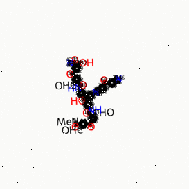 CNC(=O)c1ccc(C(=O)c2ccc(C=O)c(C(=O)Nc3ccc(C(O)(c4ccc(NC(=O)c5ccc(C(=O)c6ccc(CO)c(C(=O)N(C)C)c6)cc5C=O)cc4)c4ccc(N5Cc6ccc(C(=O)c7ccc8c(c7)CN(C)C8)cc6C5)cc4)cc3)c2)cc1C=O